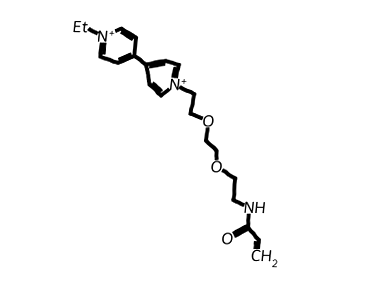 C=CC(=O)NCCOCCOCC[n+]1ccc(-c2cc[n+](CC)cc2)cc1